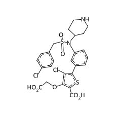 O=C(O)COc1c(C(=O)O)sc(-c2cccc(N(C3CCNCC3)S(=O)(=O)Cc3ccc(Cl)cc3)c2)c1Cl